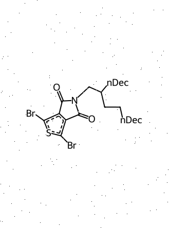 CCCCCCCCCCCCC(CCCCCCCCCC)CN1C(=O)c2c(Br)sc(Br)c2C1=O